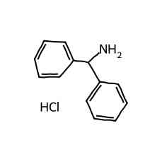 Cl.NC(c1ccccc1)c1ccccc1